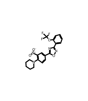 O=[N+]([O-])c1cc(-c2nc(-c3ccccc3OC(F)(F)F)no2)ccc1N1CCCCC1